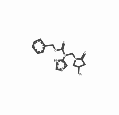 CCCC1CC(=O)N(CN(C(=O)OCc2ccccc2)c2cnc[nH]2)C1